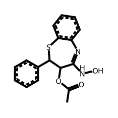 CC(=O)OC1C(NO)=Nc2ccccc2SC1c1ccccc1